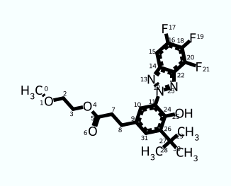 COCCOC(=O)CCc1cc(-n2nc3cc(F)c(F)c(F)c3n2)c(O)c(C(C)(C)C)c1